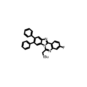 CC(C)(C)Cc1nc2cc(F)ccc2c2nc3cc(-c4ccccc4)c(-c4ccccc4)cc3n12